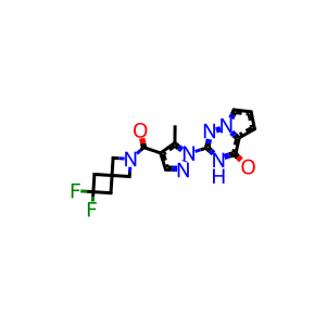 Cc1c(C(=O)N2CC3(C2)CC(F)(F)C3)cnn1-c1nn2cccc2c(=O)[nH]1